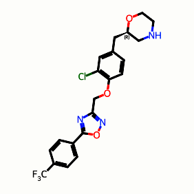 FC(F)(F)c1ccc(-c2nc(COc3ccc(C[C@@H]4CNCCO4)cc3Cl)no2)cc1